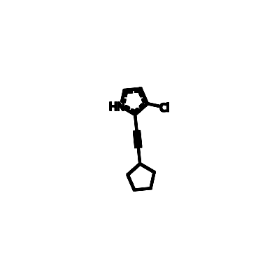 Clc1cc[nH]c1C#CC1CCCC1